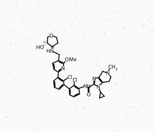 COc1nc(-c2cccc(-c3cccc(NC(=O)c4nc5c(n4C4CC4)CCN(C)C5)c3Cl)c2Cl)ccc1CN[C@@H]1CCOC[C@H]1O